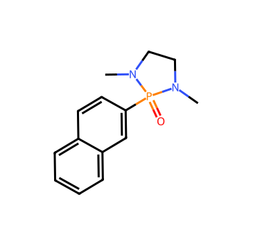 CN1CCN(C)P1(=O)c1ccc2ccccc2c1